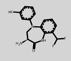 N#Cc1cccc(N2C[C@H](N)C(=O)Nc3c(C(F)F)cccc32)c1